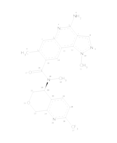 Cc1cc2nc(N)c3cnn(C)c3c2cc1C(=O)N(C)[C@@H]1COCc2nc(C(F)(F)F)ccc21